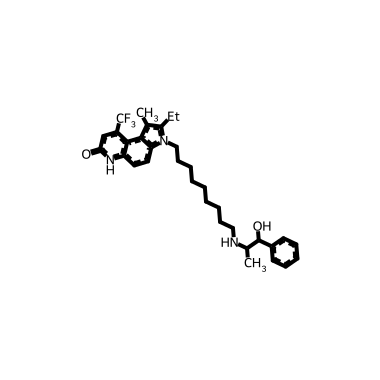 CCc1c(C)c2c3c(C(F)(F)F)cc(=O)[nH]c3ccc2n1CCCCCCCCCNC(C)C(O)c1ccccc1